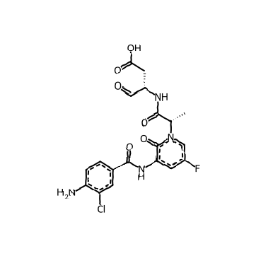 C[C@@H](C(=O)N[C@H](C=O)CC(=O)O)n1cc(F)cc(NC(=O)c2ccc(N)c(Cl)c2)c1=O